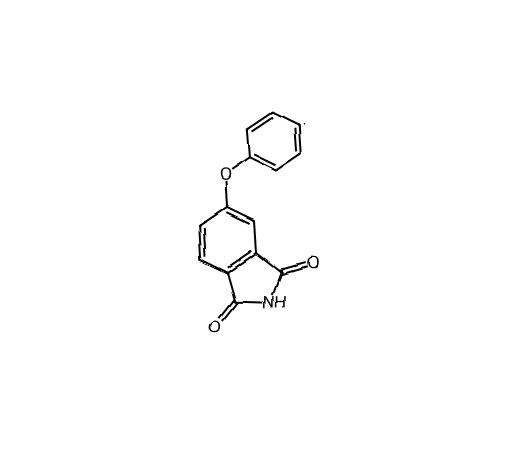 O=C1NC(=O)c2cc(Oc3cc[c]cc3)ccc21